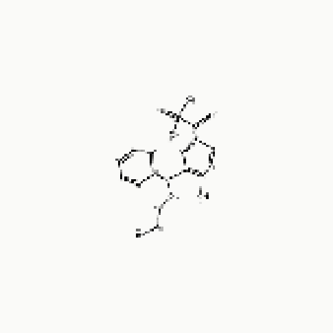 O=C(c1ccc(O)c(C(OCCO)c2ccccc2)c1)P(=O)(O)O